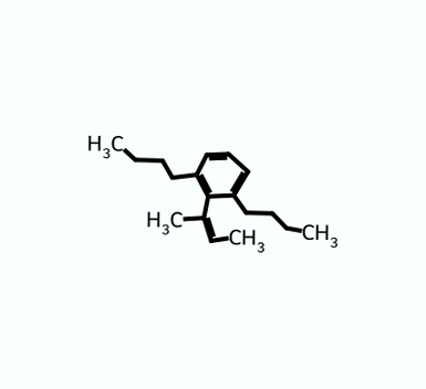 C/C=C(/C)c1c(CCCC)cccc1CCCC